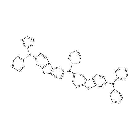 c1ccc(N(c2ccccc2)c2ccc3c(c2)oc2ccc(N(c4ccccc4)c4ccc5sc6cc(N(c7ccccc7)c7ccccc7)ccc6c5c4)cc23)cc1